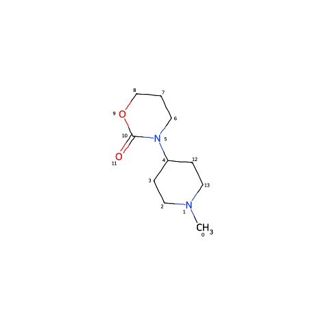 CN1CCC(N2CCCOC2=O)CC1